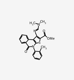 COC(=O)c1sc2c(c1/N=C/N(C)C)c1ccccc1c(=O)n2-c1ccccc1C